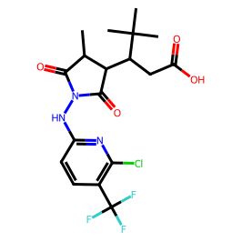 CC1C(=O)N(Nc2ccc(C(F)(F)F)c(Cl)n2)C(=O)C1C(CC(=O)O)C(C)(C)C